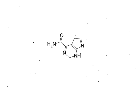 NC(=O)C1=NCNC2=C1CC=N2